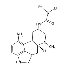 CCN(CC)C(=O)N[C@H]1CC2c3c(N)ccc4c3C(CN4)C[C@H]2N(C)C1